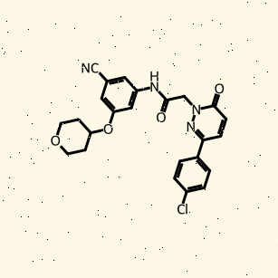 N#Cc1cc(NC(=O)Cn2nc(-c3ccc(Cl)cc3)ccc2=O)cc(OC2CCOCC2)c1